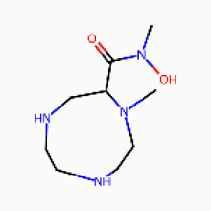 CN(O)C(=O)C1CNCCNCCN1C